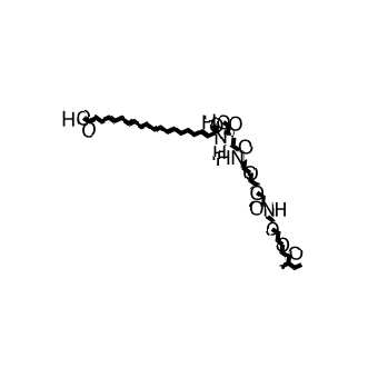 CCC(C)C(=O)COCCOCCNC(=O)COCCOCCNC(=O)CC[C@H](NC(=O)CCCCCCCCCCCCCCCCCCC(=O)O)C(=O)O